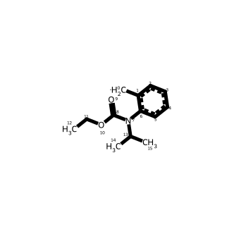 [CH2]c1ccccc1N(C(=O)OCC)C(C)C